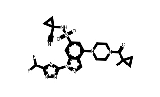 CC1(C(=O)N2CCN(c3cc(S(=O)(=O)NC4(C#N)CC4)cc4c3cnn4-c3nnc(C(F)F)s3)CC2)CC1